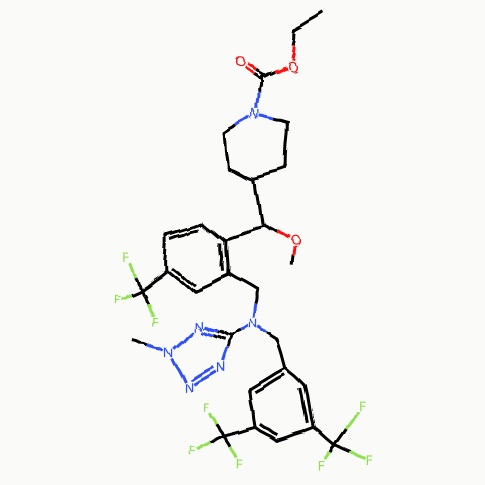 CCOC(=O)N1CCC(C(OC)c2ccc(C(F)(F)F)cc2CN(Cc2cc(C(F)(F)F)cc(C(F)(F)F)c2)c2nnn(C)n2)CC1